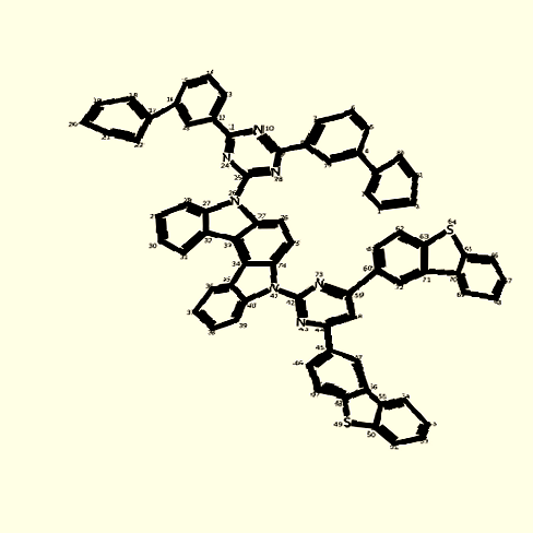 c1ccc(-c2cccc(-c3nc(-c4cccc(-c5ccccc5)c4)nc(-n4c5ccccc5c5c6c7ccccc7n(-c7nc(-c8ccc9sc%10ccccc%10c9c8)cc(-c8ccc9sc%10ccccc%10c9c8)n7)c6ccc54)n3)c2)cc1